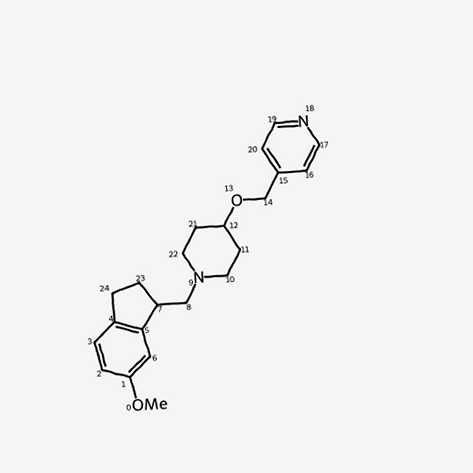 COc1ccc2c(c1)C(CN1CCC(OCc3ccncc3)CC1)CC2